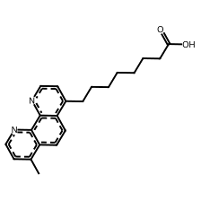 Cc1ccnc2c1ccc1c(CCCCCCCC(=O)O)ccnc12